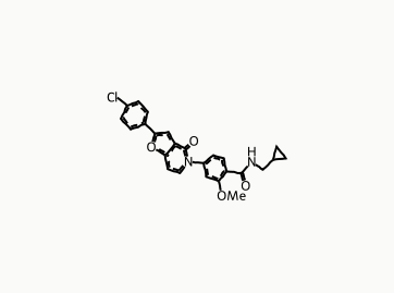 COc1cc(-n2ccc3oc(-c4ccc(Cl)cc4)cc3c2=O)ccc1C(=O)NCC1CC1